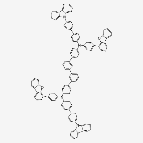 c1cc(-c2ccc(N(c3ccc(-c4ccc(-n5c6ccccc6c6ccccc65)cc4)cc3)c3ccc(-c4cccc5c4oc4ccccc45)cc3)cc2)cc(-c2cccc(-c3ccc(N(c4ccc(-c5ccc(-n6c7ccccc7c7ccccc76)cc5)cc4)c4ccc(-c5cccc6c5oc5ccccc56)cc4)cc3)c2)c1